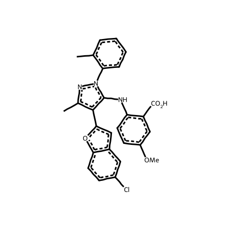 COc1ccc(Nc2c(-c3cc4cc(Cl)ccc4o3)c(C)nn2-c2ccccc2C)c(C(=O)O)c1